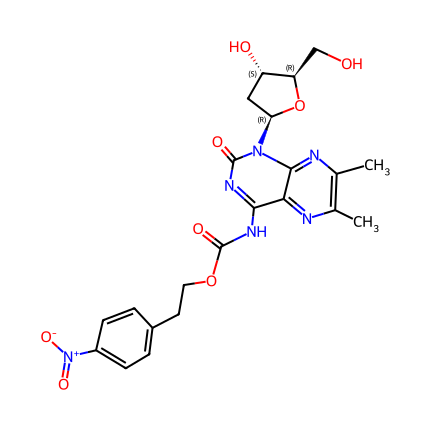 Cc1nc2c(NC(=O)OCCc3ccc([N+](=O)[O-])cc3)nc(=O)n([C@H]3C[C@H](O)[C@@H](CO)O3)c2nc1C